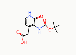 CC(C)(C)OC(=O)Nc1c(CC(=O)O)cc[nH]c1=O